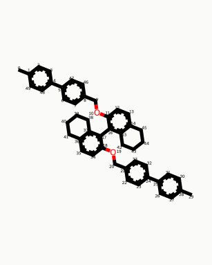 Cc1ccc(-c2ccc(COc3ccc4c(c3-c3c(OCc5ccc(-c6ccc(C)cc6)cc5)ccc5c3CCCC5)CCCC4)cc2)cc1